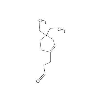 CCC1(CC)CC=C(CCC=O)CC1